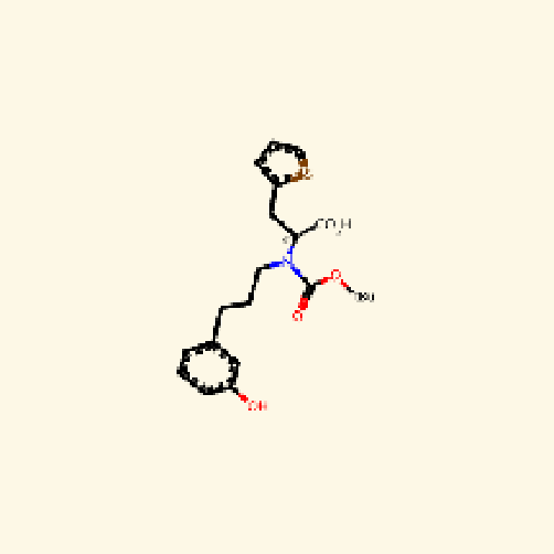 CC(C)(C)OC(=O)N(CCCc1cccc(O)c1)[C@@H](Cc1cccs1)C(=O)O